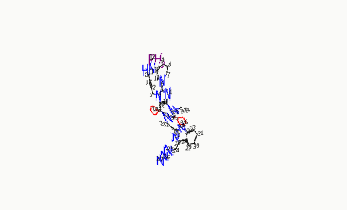 CC#CCn1c(N2CCC[C@@H](NP)C2)nc2c1c(=O)n(Cc1nc(CN=[N+]=[N-])c3ccccc3n1)c(=O)n2C